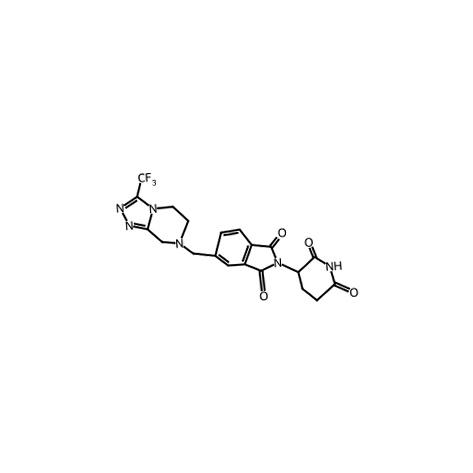 O=C1CCC(N2C(=O)c3ccc(CN4CCn5c(nnc5C(F)(F)F)C4)cc3C2=O)C(=O)N1